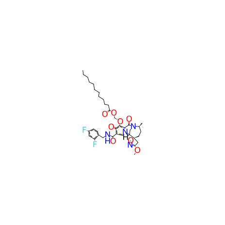 CCCCCCCCCCCC(=O)OCOc1c2n(cc(C(=O)NCc3ccc(F)cc3F)c1=O)[C@@H]1CN(C2=O)[C@@H](C)CC[C@]12CC(OC)=NO2